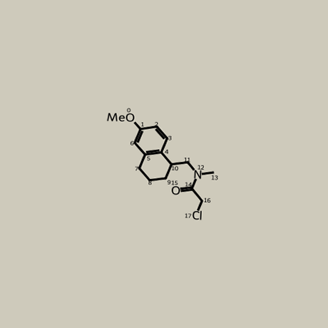 COc1ccc2c(c1)CCCC2CN(C)C(=O)CCl